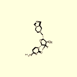 Nc1ccn([C@@H]2O[C@H](CN3CCn4cncc4C3)[C@@H](O)C2(F)F)c(=O)n1